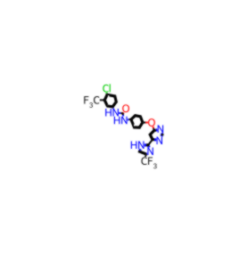 O=C(Nc1ccc(Oc2cc(-c3nc(C(F)(F)F)c[nH]3)ncn2)cc1)Nc1ccc(Cl)c(C(F)(F)F)c1